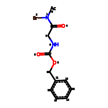 [CH2]C(=O)N(Br)C(=O)CNC(=O)OCc1ccccc1